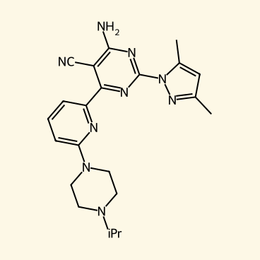 Cc1cc(C)n(-c2nc(N)c(C#N)c(-c3cccc(N4CCN(C(C)C)CC4)n3)n2)n1